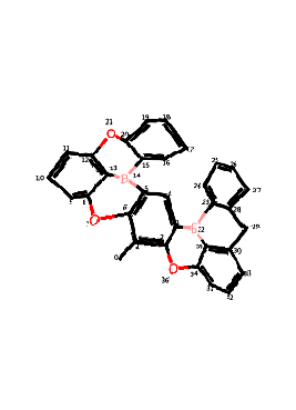 Cc1c2c(cc3c1Oc1cccc4c1B3c1ccccc1O4)B1c3ccccc3Cc3cccc(c31)O2